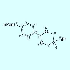 CCCCCc1ccc(C2OCC(C)(CCC)CO2)cc1